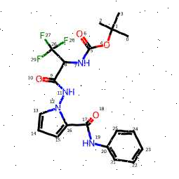 CC(C)(C)OC(=O)NC(C(=O)Nn1cccc1C(=O)Nc1ccccc1)C(F)(F)F